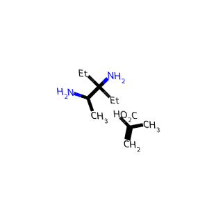 C=C(C)C(=O)O.CCC(N)(CC)C(C)N